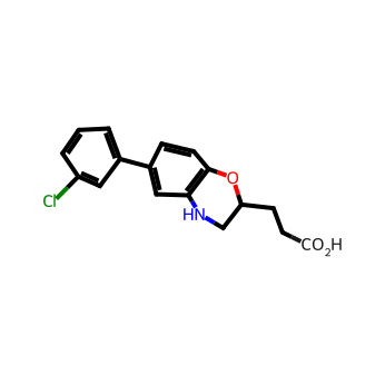 O=C(O)CCC1CNc2cc(-c3cccc(Cl)c3)ccc2O1